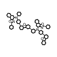 c1ccc(-c2nc3c(N(c4ccccc4)c4ccc(-c5cccc6c5oc5ccc(-c7cccc(N(c8ccc(-c9cccc%10c9oc9ccccc9%10)cc8)c8cc9ccccc9c9oc(-c%10ccccc%10)nc89)c7)cc56)cc4)cc4ccccc4c3o2)cc1